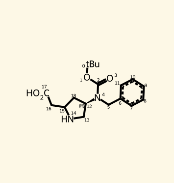 CC(C)(C)OC(=O)N(Cc1ccccc1)[C@H]1CNC(CC(=O)O)C1